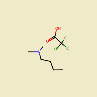 CCCCN(C)C.O=C(O)C(Cl)(Cl)Cl